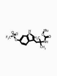 CC(C)(Cc1c[nH]c2cc(OS(=O)(=O)C(F)(F)F)ccc12)NC(=O)OC(C)(C)C